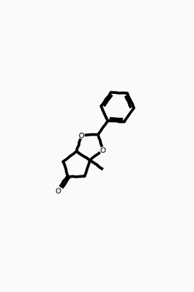 CC12CC(=O)CC1OC(c1ccccc1)O2